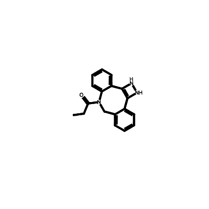 CCC(=O)N1Cc2ccccc2-c2[nH][nH]c2-c2ccccc21